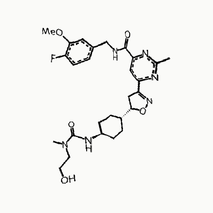 COc1cc(CNC(=O)c2cc(C3=NOC([C@H]4CC[C@H](NC(=O)N(C)CCO)CC4)C3)nc(C)n2)ccc1F